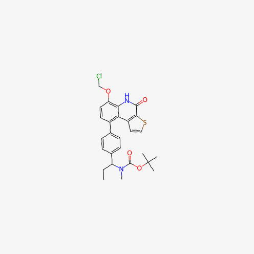 CCC(c1ccc(-c2ccc(OCCl)c3[nH]c(=O)c4sccc4c23)cc1)N(C)C(=O)OC(C)(C)C